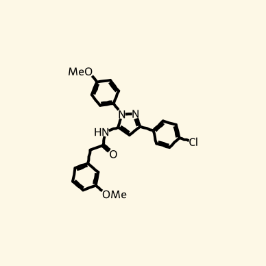 COc1ccc(-n2nc(-c3ccc(Cl)cc3)cc2NC(=O)Cc2cccc(OC)c2)cc1